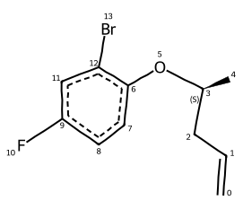 C=CC[C@H](C)Oc1ccc(F)cc1Br